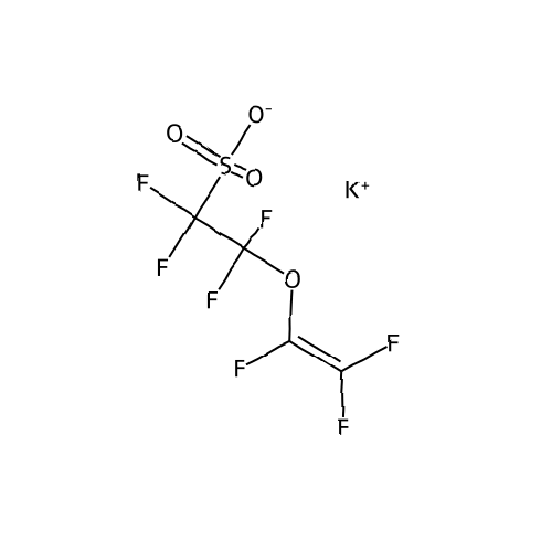 O=S(=O)([O-])C(F)(F)C(F)(F)OC(F)=C(F)F.[K+]